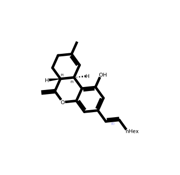 C=C1Oc2cc(/C=C/CCCCCC)cc(O)c2[C@@H]2C=C(C)CC[C@@H]12